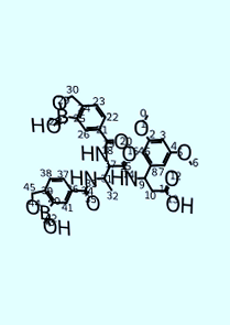 COc1cc(OC)cc(C(CC(=O)O)NC(=O)C(NC(=O)c2ccc3c(c2)B(O)OC3)C(C)NC(=O)c2ccc3c(c2)B(O)OC3)c1